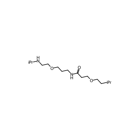 CC(C)CCOCCC(=O)NCCCOCCNC(C)C